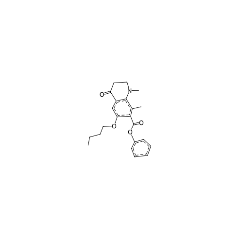 CCCCOc1cc2c(c(C)c1C(=O)Oc1ccccc1)N(C)CCC2=O